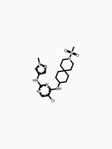 Cn1cc(Nc2ncc(Cl)c(NC3CCC4(CC3)CCN(S(C)(=O)=O)CC4)n2)cn1